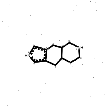 c1[nH]cc2c1CC1CCNCC1C2